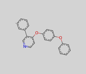 [c]1cccc(-c2cnccc2Oc2ccc(Oc3ccccc3)cc2)c1